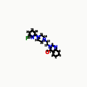 O=c1c2ccccc2ncn1CCN1CCN(c2cccc(F)n2)CC1